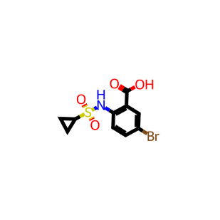 O=C(O)c1cc(Br)ccc1NS(=O)(=O)C1CC1